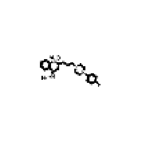 O=S1(=O)c2ccccc2/C(=N\O)CC1CCCN1CCN(c2ccc(F)cc2)CC1